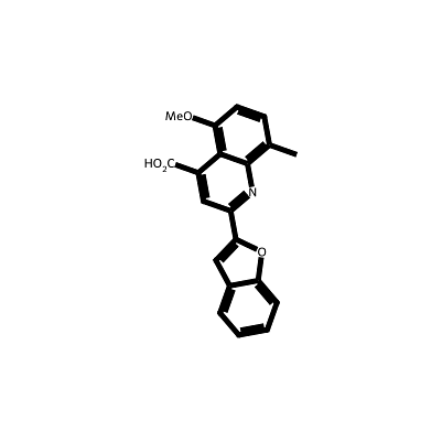 COc1ccc(C)c2nc(-c3cc4ccccc4o3)cc(C(=O)O)c12